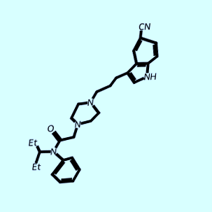 CCC(CC)N(C(=O)CN1CCN(CCCc2c[nH]c3ccc(C#N)cc23)CC1)c1ccccc1